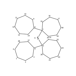 C1CCCC(C2(SC3(C4CCCCCC4)CCCCCC3)CCCCCC2)CC1